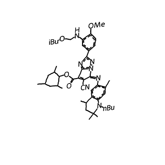 CCCCN1c2cc(C)c(/N=C3\C(C#N)=C(C(=O)OC4C(C)CC(C)CC4C)c4nc(-c5ccc(OC)c(NCOC(C)CC)c5)nn43)cc2C(C)CC1(C)C